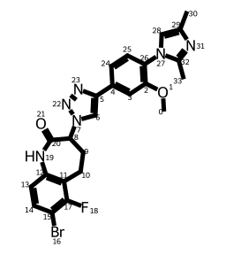 COc1cc(-c2cn(C3CCc4c(ccc(Br)c4F)NC3=O)nn2)ccc1-n1cc(C)nc1C